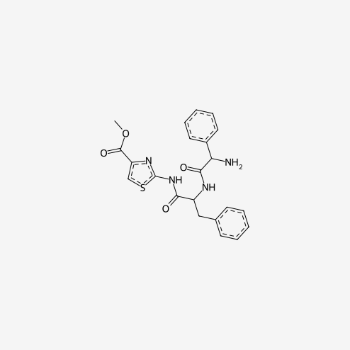 COC(=O)c1csc(NC(=O)C(Cc2ccccc2)NC(=O)C(N)c2ccccc2)n1